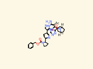 CC(=O)c1c([C@H]2C[C@H]3CC[C@@H](C2)N3C(=O)c2nnc[nH]2)nc2c(-c3ccc(C4CCCN4C(=O)OCc4ccccc4)nc3)cnn2c1N